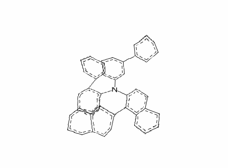 c1ccc(-c2cccc(N(c3ccccc3-c3ccccc3)c3ccc4ccccc4c3-c3ccc4ccccc4c3)c2)cc1